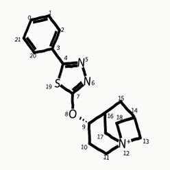 c1ccc(-c2nnc(O[C@H]3CC[N+]45CC(CC3C4)C5)s2)cc1